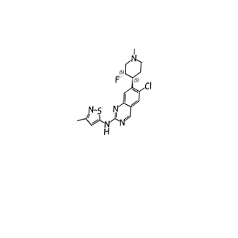 Cc1cc(Nc2ncc3cc(Cl)c([C@@H]4CCN(C)C[C@H]4F)cc3n2)sn1